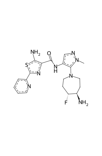 Cn1ncc(NC(=O)c2nc(-c3ccccn3)sc2N)c1N1CC[C@@H](N)[C@H](F)CC1